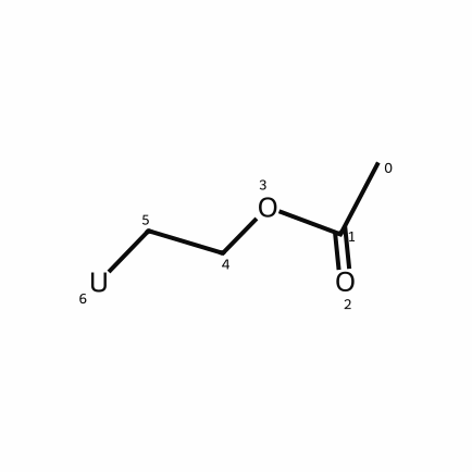 CC(=O)OC[CH2][U]